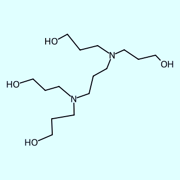 OCCCN(CCCO)CCCN(CCCO)CCCO